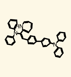 C1=CC=C(C(=Cc2ccc(-c3ccc(N(c4ccccc4)c4ccccc4)cc3)cc2)N(c2ccccc2)c2ccccc2)NC=C1